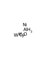 O.[AlH3].[Co].[Ni].[W]